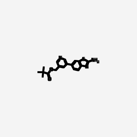 CC(C)(C)C(=O)OCc1cncc(-c2ccc3nc(N)sc3c2)c1